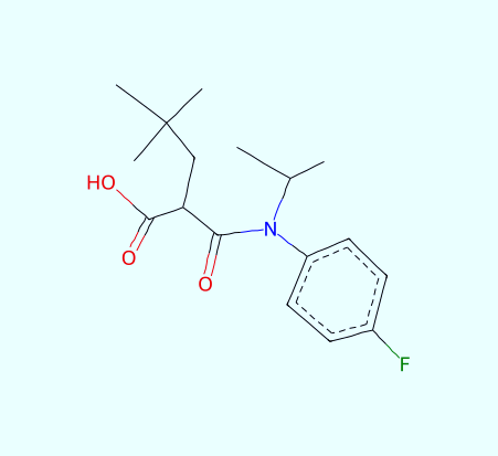 CC(C)N(C(=O)C(CC(C)(C)C)C(=O)O)c1ccc(F)cc1